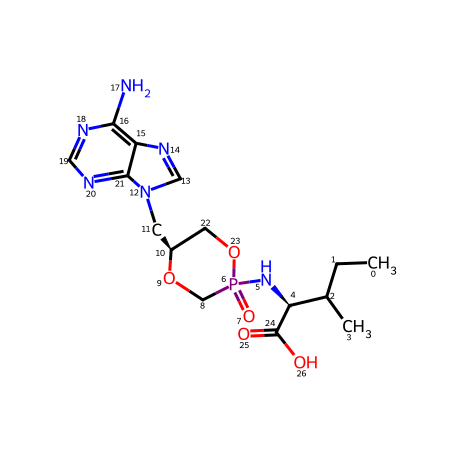 CCC(C)[C@H](NP1(=O)CO[C@@H](Cn2cnc3c(N)ncnc32)CO1)C(=O)O